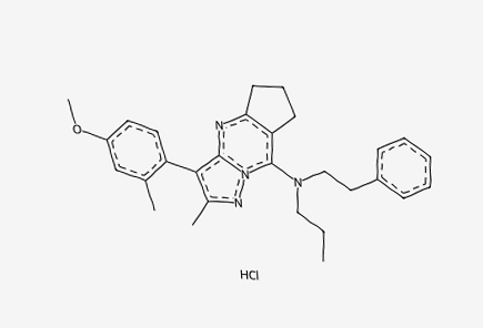 CCCN(CCc1ccccc1)c1c2c(nc3c(-c4ccc(OC)cc4C)c(C)nn13)CCC2.Cl